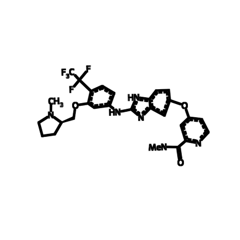 CNC(=O)c1cc(Oc2ccc3[nH]c(Nc4ccc(C(F)(F)C(F)(F)F)c(OC[C@H]5CCCN5C)c4)nc3c2)ccn1